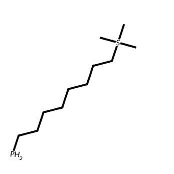 CS(C)(C)CCCCCCCCP